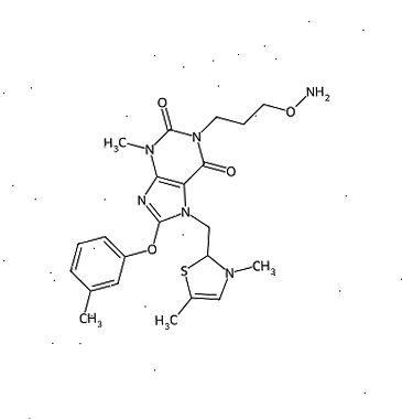 CC1=CN(C)C(Cn2c(Oc3cccc(C)c3)nc3c2c(=O)n(CCCON)c(=O)n3C)S1